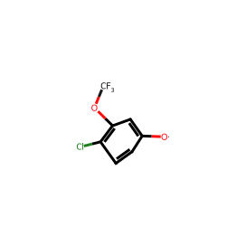 [O]c1ccc(Cl)c(OC(F)(F)F)c1